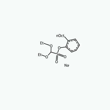 CCCCCCCCc1ccccc1OS(=O)(=O)C(OCC)OCC.[Na]